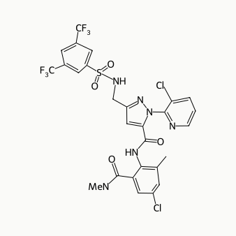 CNC(=O)c1cc(Cl)cc(C)c1NC(=O)c1cc(CNS(=O)(=O)c2cc(C(F)(F)F)cc(C(F)(F)F)c2)nn1-c1ncccc1Cl